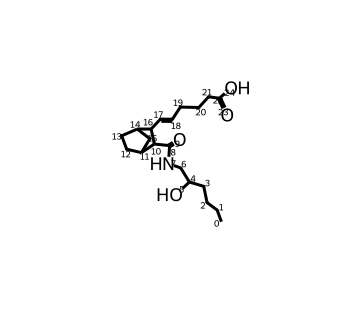 CCCCC(O)CNC(=O)C1C2CCC(C2)C1C=CCCCC(=O)O